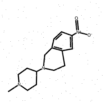 CN1CCC(N2CCc3cc([N+](=O)[O-])ccc3C2)CC1